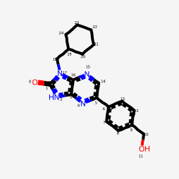 O=c1[nH]c2nc(-c3ccc(CO)cc3)cnc2n1CC1CCCCC1